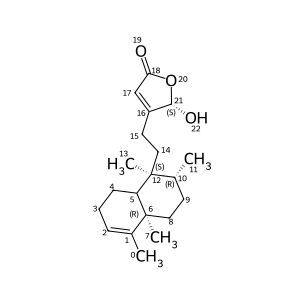 CC1=CCCC2[C@@]1(C)CC[C@@H](C)[C@]2(C)CCC1=CC(=O)O[C@@H]1O